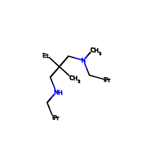 CCC(C)(CNCC(C)C)CN(C)CC(C)C